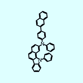 c1ccc(N(c2ccc(-c3ccc4ccccc4c3)cc2)c2ccc3ccc4c5ccccc5n(-c5ccccc5)c4c3c2)cc1